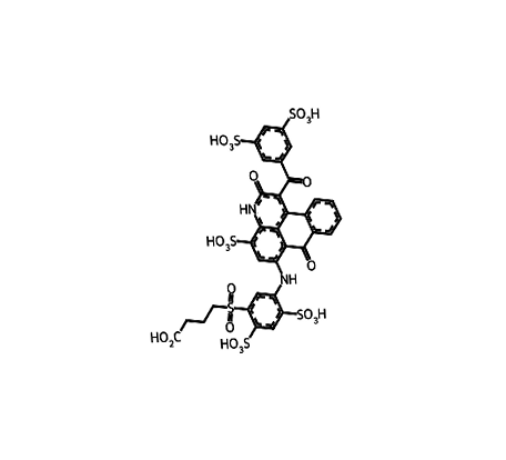 O=C(O)CCCS(=O)(=O)c1cc(Nc2cc(S(=O)(=O)O)c3[nH]c(=O)c(C(=O)c4cc(S(=O)(=O)O)cc(S(=O)(=O)O)c4)c4c3c2C(=O)c2ccccc2-4)c(S(=O)(=O)O)cc1S(=O)(=O)O